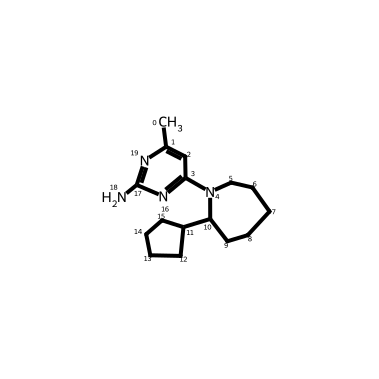 Cc1cc(N2CCCCCC2C2CCCC2)nc(N)n1